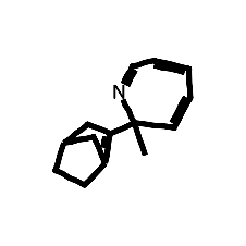 CC1(C2=C3CCC(C3)C2)C=CC=CC=N1